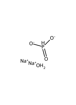 O.O=[PH]([O-])[O-].[Na+].[Na+]